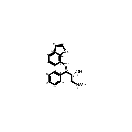 CNC[C@@H](O)[C@H](Oc1cccc2ccsc12)c1ccccc1